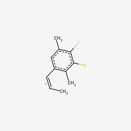 C/C=C\c1cc(C)c(F)c(F)c1C